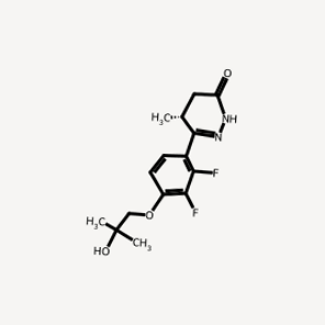 C[C@@H]1CC(=O)NN=C1c1ccc(OCC(C)(C)O)c(F)c1F